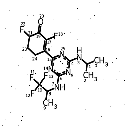 CC(C)Nc1nc(NC(C)C(F)(F)F)nc(C2=C(F)C(=O)C(F)CC2)n1